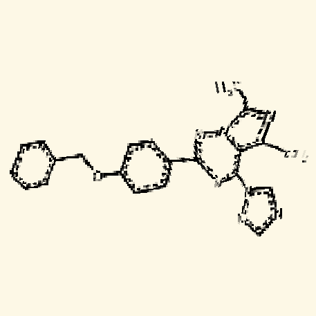 Cc1nc(C)n2nc(-c3ccc(OCc4ccccc4)cc3)nc(-n3cncn3)c12